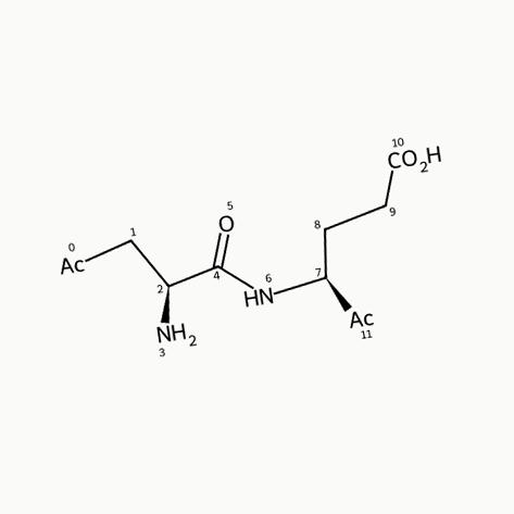 CC(=O)C[C@H](N)C(=O)N[C@@H](CCC(=O)O)C(C)=O